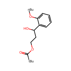 CCCCOc1ccccc1C(O)CCOC(=O)C(C)(C)C